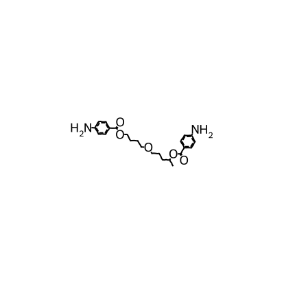 CC(CCCOCCCCOC(=O)c1ccc(N)cc1)OC(=O)c1ccc(N)cc1